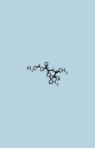 C=C(CC(Cl)C(=O)OCC)C(=O)OC